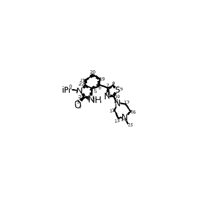 CC(C)n1c(=O)[nH]c2c(-c3csc(N4CCN(C)CC4)n3)cccc21